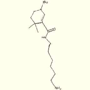 CC1(C)CCN(C(C)(C)C)C=C1C(=O)NCCCCCCN